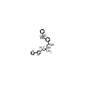 CC(C)(CCn1cnc(-c2cccs2)c1)NCC(O)c1cccc(NS(=O)(=O)c2ccccc2)c1